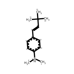 C[SiH](C)c1ccc(C=CC(C)(C)C)cc1